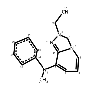 CN(C1=CC=CN2CN(CC#N)N=C12)c1ccccc1